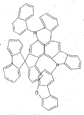 c1ccc(N(c2ccc3c(c2)C2(c4ccccc4-c4ccccc42)c2ccccc2-3)c2cccc3ccccc23)c(-c2ccc3c(c2)c2ccccc2n3-c2ccc3oc4ccccc4c3c2)c1